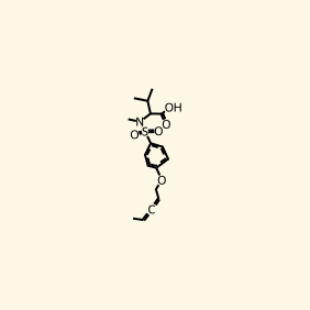 CC=C=CCOc1ccc(S(=O)(=O)N(C)C(C(=O)O)C(C)C)cc1